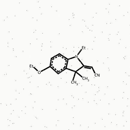 CCOc1ccc2c(c1)C(C)(C)C(=CC#N)N2CC